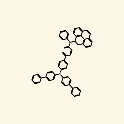 C=C(/C=C\C(=C)N(c1ccccc1)C1Cc2cccc3ccc4cccc1c4c23)c1ccc(N(c2ccc(-c3ccccc3)cc2)c2ccc(-c3ccccc3)cc2)cc1